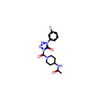 CC(=O)NC1CCN(C(=O)n2nnn(-c3cccc(F)c3)c2=O)CC1